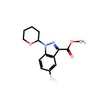 Bc1ccc2c(c1)c(C(=O)OC)nn2C1CCCCO1